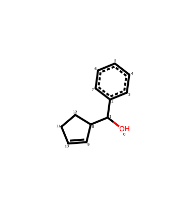 OC(c1ccccc1)C1C=CCC1